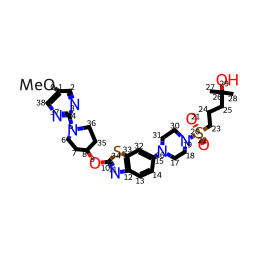 COc1cnc(N2CCC(Oc3nc4ccc(N5CCN(S(=O)(=O)CCCC(C)(C)O)CC5)cc4s3)CC2)nc1